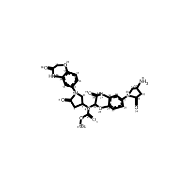 CC(C)(C)OC(=O)N(C1CC(=O)N(c2ccc3c(c2)NC(=O)CO3)C1)C1Oc2ccc(N3CC(N)CC3=O)cc2NC1=O